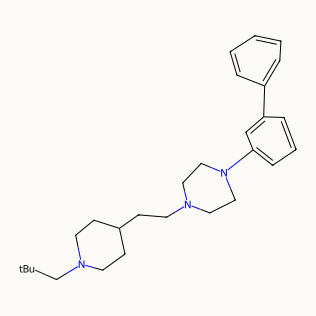 CC(C)(C)CN1CCC(CCN2CCN(c3cccc(-c4ccccc4)c3)CC2)CC1